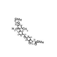 COC[C@@H]1Cc2c(cc(C)c(-c3cccc(COc4ccc5c(c4)OC[C@H]5CC(=O)OC)c3)c2C)O1